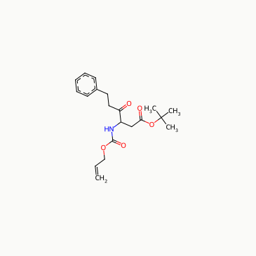 C=CCOC(=O)NC(CC(=O)OC(C)(C)C)C(=O)CCc1ccccc1